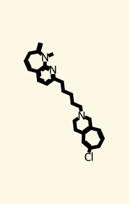 C=C1CC=Cc2ccc(CCCCCN3CCC4=C(C=CCC(Cl)=C4)C3)nc2N1C